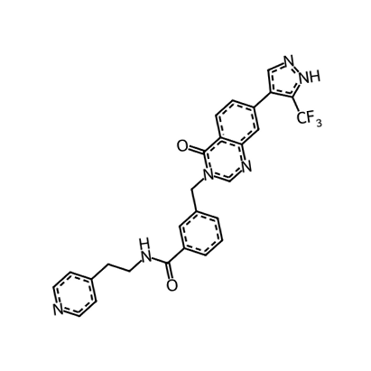 O=C(NCCc1ccncc1)c1cccc(Cn2cnc3cc(-c4cn[nH]c4C(F)(F)F)ccc3c2=O)c1